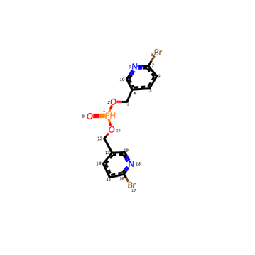 O=[PH](OCc1ccc(Br)nc1)OCc1ccc(Br)nc1